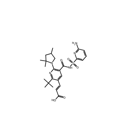 CC1CN(c2nc(C(C)(C)C)c(C=CC(=O)O)cc2C(=O)NS(=O)(=O)c2cccc(N)n2)C(C)(C)C1